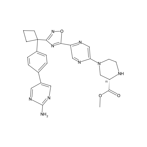 COC(=O)[C@@H]1CN(c2cnc(-c3nc(C4(c5ccc(-c6cnc(N)nc6)cc5)CCC4)no3)cn2)CCN1